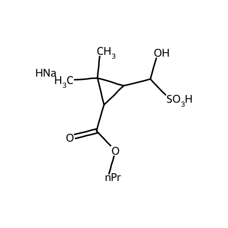 CCCOC(=O)C1C(C(O)S(=O)(=O)O)C1(C)C.[NaH]